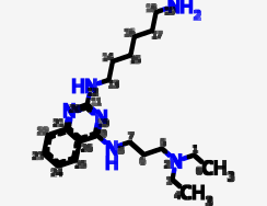 CCN(CC)CCCNc1nc(NCCCCCCN)nc2ccccc12